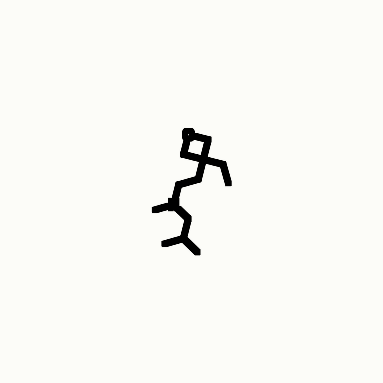 CCC1(CCN(C)CC(C)C)COC1